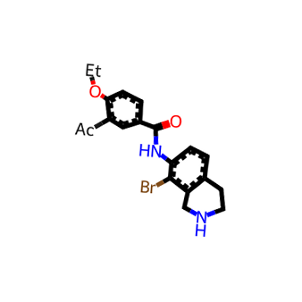 CCOc1ccc(C(=O)Nc2ccc3c(c2Br)CNCC3)cc1C(C)=O